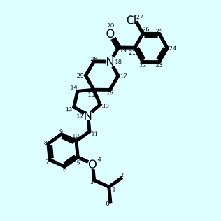 CC(C)COc1ccccc1CN1CCC2(CCN(C(=O)c3ccccc3Cl)CC2)C1